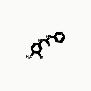 Cc1ccc(NC(=O)Nc2cccnc2)cc1Br